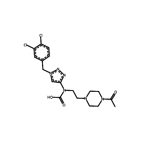 CC(=O)N1CCN(CCN(C(=O)O)c2cn(Cc3ccc(Cl)c(Cl)c3)nn2)CC1